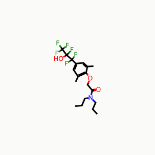 CCCN(CCC)C(=O)COc1c(C)cc(C(F)(F)C(O)(F)C(F)(F)F)cc1C